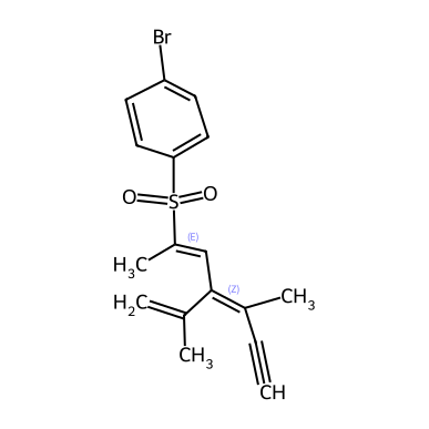 C#C/C(C)=C(/C=C(\C)S(=O)(=O)c1ccc(Br)cc1)C(=C)C